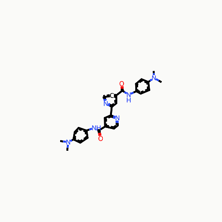 CN(C)c1ccc(NC(=O)c2ccnc(-c3cc(C(=O)Nc4ccc(N(C)C)cc4)ccn3)c2)cc1